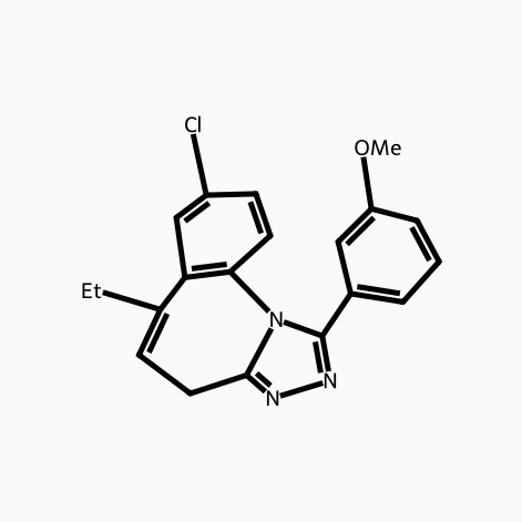 CCC1=CCc2nnc(-c3cccc(OC)c3)n2-c2ccc(Cl)cc21